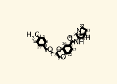 Cc1ccc(COC[C@H]2COc3ccc(C(=O)N[C@@H]4C[C@@H]5CCN(C5)C4)cc3O2)cc1